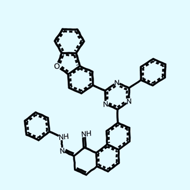 N=C1/C(=N\Nc2ccccc2)C=Cc2ccc3ccc(-c4nc(-c5ccccc5)nc(-c5ccc6oc7ccccc7c6c5)n4)cc3c21